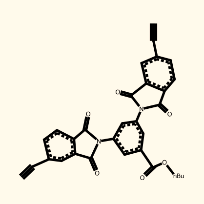 C#Cc1ccc2c(c1)C(=O)N(c1cc(C(=O)OCCCC)cc(N3C(=O)c4ccc(C#C)cc4C3=O)c1)C2=O